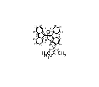 CC[Si](CC)(CC)OCCCC(C)(C1C2C=CC=CC2C2CCCCC21)C1C2C=CC=CC2C2CCCCC21